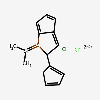 C[Si](C)=S1C2=CC=CC2=CC1C1=CC=CC1.[Cl-].[Cl-].[Zr+2]